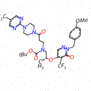 COc1ccc(Cn2ncc(O[C@@H](C)CN(CCC(=O)N3CCN(c4ncc(C(F)(F)F)cn4)CC3)C(=O)OC(C)(C)C)c(C(F)(F)F)c2=O)cc1